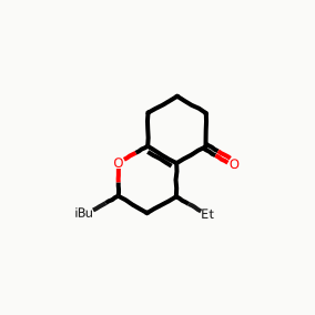 CCC1CC(C(C)CC)OC2=C1C(=O)CCC2